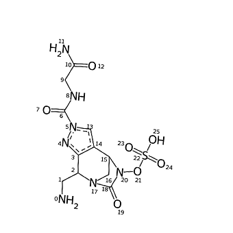 NCC1c2nn(C(=O)NCC(N)=O)cc2C2CN1C(=O)N2OS(=O)(=O)O